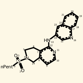 CCCCCS(=O)(=O)N1CCc2c(ccnc2Nc2cnc3ccccc3c2)C1